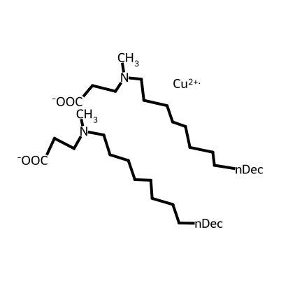 CCCCCCCCCCCCCCCCCCN(C)CCC(=O)[O-].CCCCCCCCCCCCCCCCCCN(C)CCC(=O)[O-].[Cu+2]